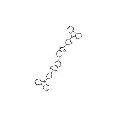 c1ccc2c(c1)c1ccccc1n2-c1ccc(-c2nc3ccc(-c4ccc5nc(-c6ccc(-n7c8ccccc8c8ccccc87)cc6)oc5c4)cc3o2)cc1